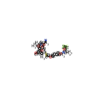 CCCC(OCCN(C)CCO[C@H]1CCC2C3CCc4cc(OCCC(C)(C)SSCCCCC(COP(OCCC#N)N(C(C)C)C(C)C)COC(c5ccccc5)(c5ccc(OC)cc5)c5ccc(OC)cc5)ccc4C3CC[C@@]21C)(C(F)(F)F)C(F)(F)F